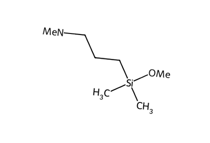 CNCCC[Si](C)(C)OC